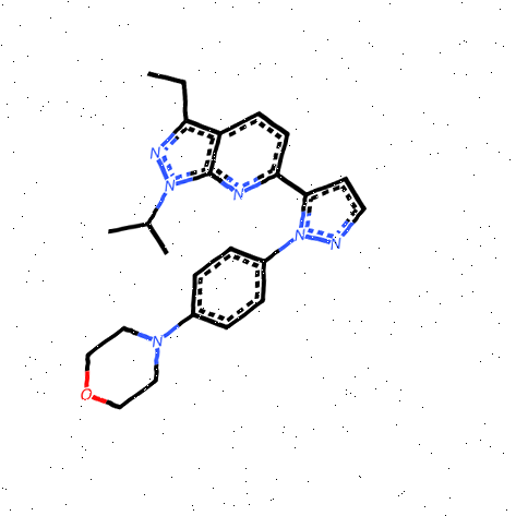 CCc1nn(C(C)C)c2nc(-c3ccnn3-c3ccc(N4CCOCC4)cc3)ccc12